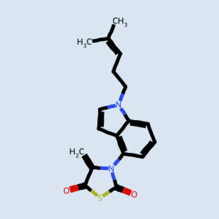 C=C1C(=O)SC(=O)N1c1cccc2c1ccn2CCC=C(C)C